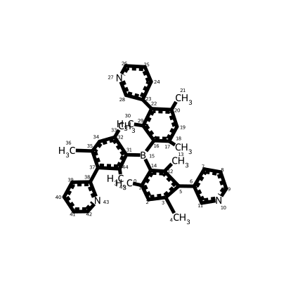 Cc1cc(C)c(-c2cccnc2)c(C)c1B(c1c(C)cc(C)c(-c2cccnc2)c1C)c1c(C)cc(C)c(-c2ccccn2)c1C